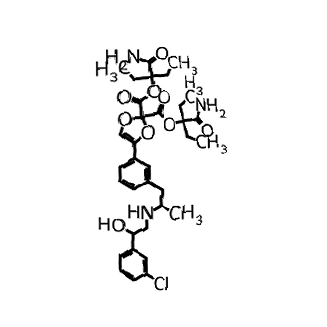 CCC(CC)(OC(=O)C1(C(=O)OC(CC)(CC)C(N)=O)OC=C(c2cccc(C[C@@H](C)NCC(O)c3cccc(Cl)c3)c2)O1)C(N)=O